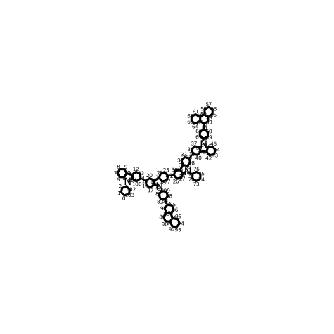 c1ccc(-n2c3ccccc3c3ccc(-c4ccc5c(c4)c4ccc(-c6ccc7c(c6)c6ccc(-c8ccc9c(c8)c8ccccc8n9-c8ccc(-c9cc%10ccccc%10c%10ccccc9%10)cc8)cc6n7-c6ccccc6)cc4n5-c4ccc(-c5ccc6c(ccc7ccccc76)c5)cc4)cc32)cc1